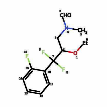 CCOC(CN(C)C=O)C(F)(F)c1ccccc1F